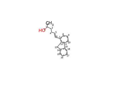 CC(O)CCC=Cc1cccc2c1Cc1ccccc1-2